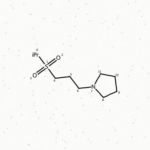 CC(C)S(=O)(=O)CCCN1CCCC1